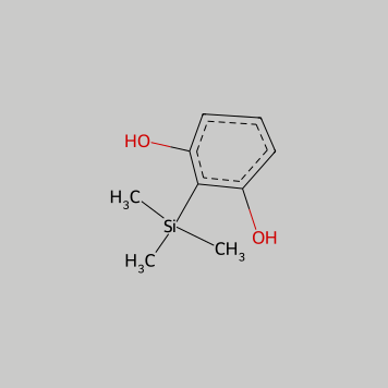 C[Si](C)(C)c1c(O)cccc1O